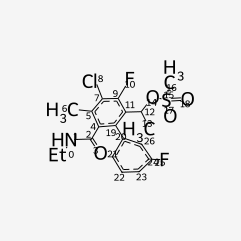 CCNC(=O)c1c(C)c(Cl)c(F)c(C(C)OS(C)(=O)=O)c1-c1cccc(F)c1